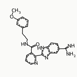 COc1cccc(CCNC(=O)c2cccnc2-c2nc3cc(C(=N)N)ccc3[nH]2)c1